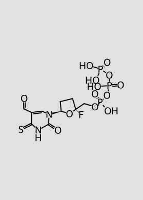 O=Cc1cn([C@H]2CC[C@@](F)(COP(=O)(O)OP(=O)(O)OP(=O)(O)O)O2)c(=O)[nH]c1=S